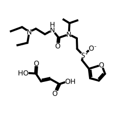 CCN(CC)CCNC(=O)N(CC[S+]([O-])Cc1ccco1)C(C)C.O=C(O)C=CC(=O)O